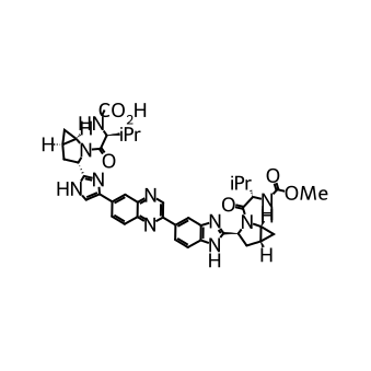 COC(=O)N[C@H](C(=O)N1[C@@H]2C[C@@H]2C[C@H]1c1nc2cc(-c3cnc4cc(-c5c[nH]c([C@@H]6C[C@H]7C[C@H]7N6C(=O)[C@@H](NC(=O)O)C(C)C)n5)ccc4n3)ccc2[nH]1)C(C)C